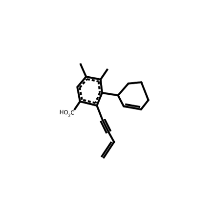 C=CC#Cc1c(C(=O)O)cc(C)c(C)c1C1C=CCCC1